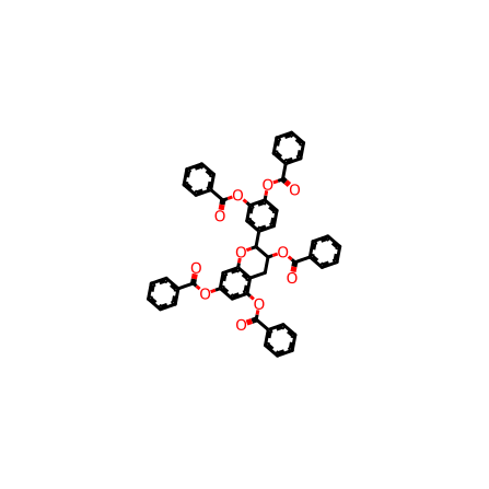 O=C(Oc1cc(OC(=O)c2ccccc2)c2c(c1)OC(c1ccc(OC(=O)c3ccccc3)c(OC(=O)c3ccccc3)c1)C(OC(=O)c1ccccc1)C2)c1ccccc1